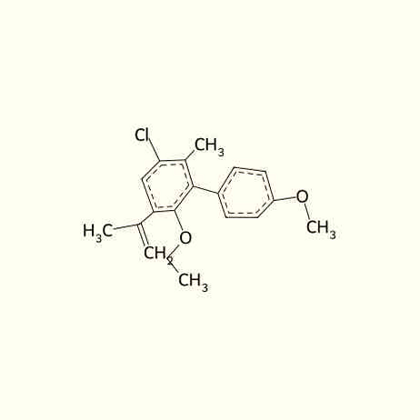 C=C(C)c1cc(Cl)c(C)c(-c2ccc(OC)cc2)c1OCC